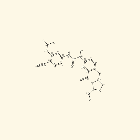 COC1CCN(Cc2ccc(N(C)C(=O)Nc3cc(OC(C)C)c(C#N)cn3)nc2C=O)C1